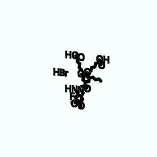 Br.CCCCc1cc(C(=O)CN2Cc3cc(OC)c(OC)c(F)c3C2=N)cc(OCCCCC(=O)O)c1OCCCCC(=O)O